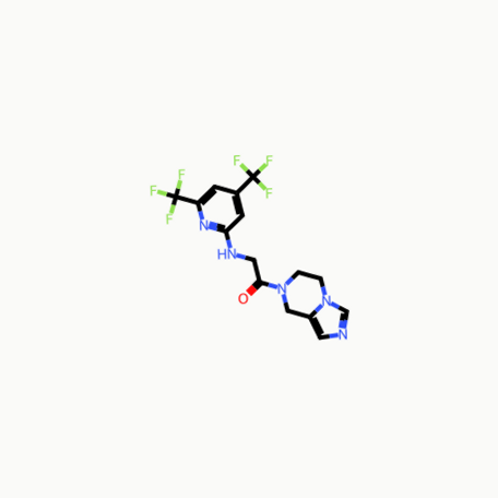 O=C(CNc1cc(C(F)(F)F)cc(C(F)(F)F)n1)N1CCn2cncc2C1